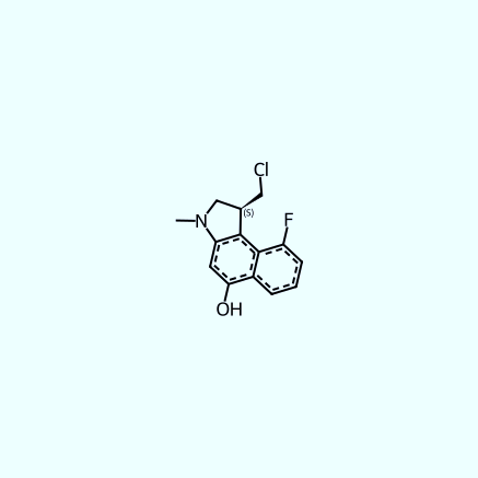 CN1C[C@@H](CCl)c2c1cc(O)c1cccc(F)c21